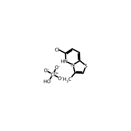 CC1=CSC2=CC=C(Cl)NN12.[O-][Cl+3]([O-])([O-])O